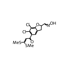 CSC(=CC(=O)c1cc2c(c(Cl)c1Cl)OC(C=NO)C2)SC